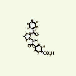 O=C(O)c1ccc(C(=O)NN2CCC[C@H]2C(=O)c2ccccc2)cc1